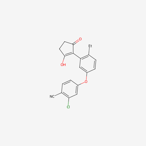 CCc1ccc(Oc2ccc(C#N)c(Cl)c2)cc1C1=C(O)CCC1=O